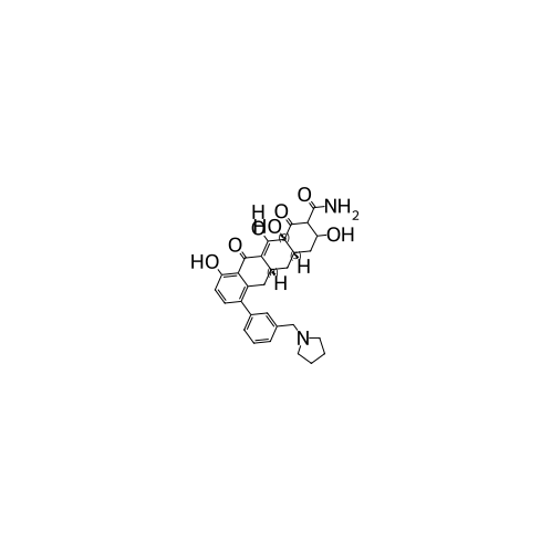 NC(=O)C1C(=O)[C@@]2(O)C(O)=C3C(=O)c4c(O)ccc(-c5cccc(CN6CCCC6)c5)c4C[C@H]3C[C@H]2CC1O